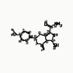 C=C1C[C@@H](c2ccc(OC)cc2)CC2=C(C(N)=O)SC(S)C12